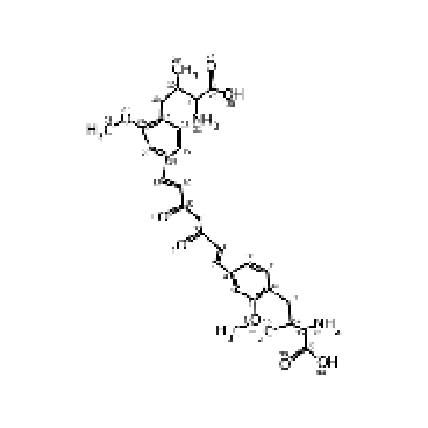 COc1cc(/C=C/C(=O)CC(=O)/C=C/c2ccc(CC(C)C(N)C(=O)O)c(OC)c2)ccc1CC(C)C(N)C(=O)O